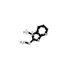 COc1nc2ncccc2n1C